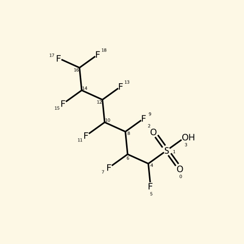 O=S(=O)(O)C(F)C(F)C(F)C(F)C(F)C(F)C(F)F